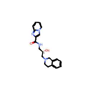 O=C(NC[C@H](O)CN1CCc2ccccc2C1)c1cn2ccccc2n1